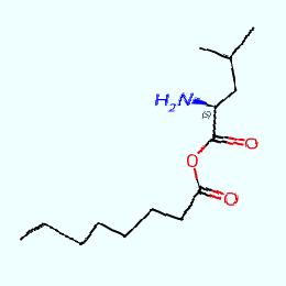 CCCCCCCC(=O)OC(=O)[C@@H](N)CC(C)C